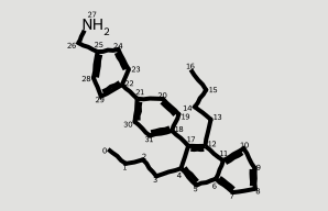 CCCCc1cc2ccccc2c(CCCC)c1-c1ccc(-c2ccc(CN)cc2)cc1